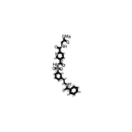 COC(=O)CNC(=O)c1ccc(C(=O)NS(=O)(=O)c2cccc(CCNC(=O)c3ccccc3)c2)cn1